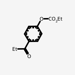 CCOC(=O)Oc1ccc(C(=O)CC)cc1